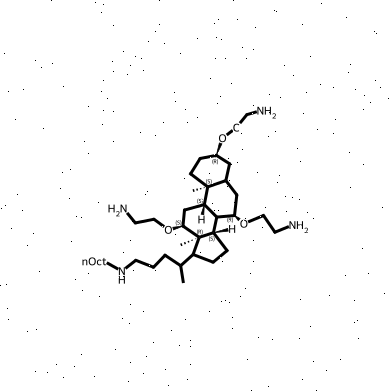 CCCCCCCCNCCCC(C)C1CC[C@H]2C3[C@H](OCCN)CC4C[C@H](OCCN)CC[C@]4(C)[C@H]3C[C@H](OCCN)[C@]12C